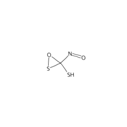 O=NC1(S)OS1